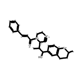 CC1CCc2cc(C(O)C(C)C3C#[N+]CCN3C(=O)C=Cc3ccccc3)ccc2S1